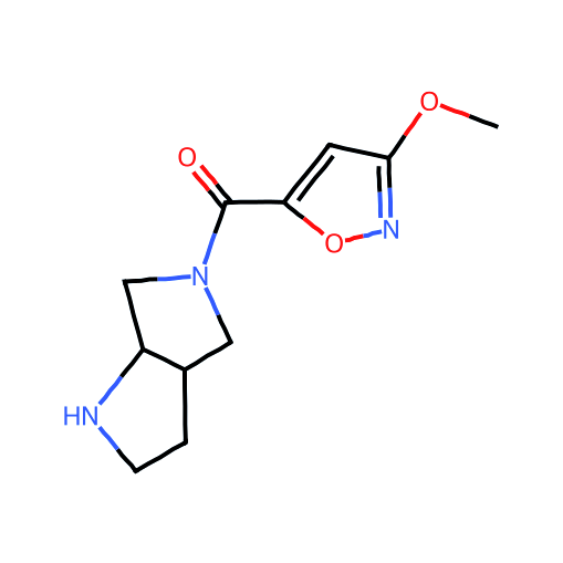 COc1cc(C(=O)N2CC3CCNC3C2)on1